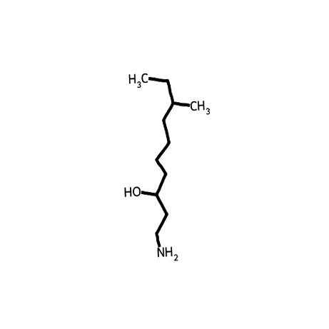 CCC(C)CCCCC(O)CCN